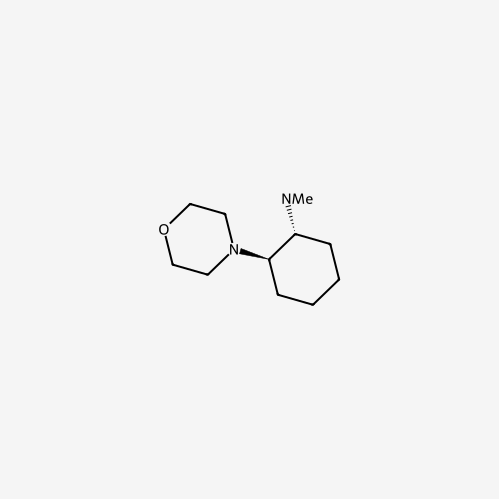 CN[C@@H]1CCCC[C@H]1N1CCOCC1